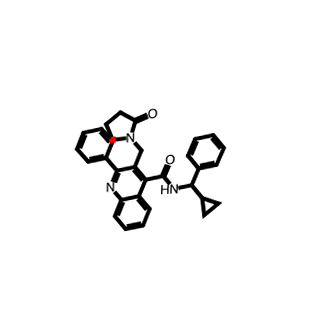 O=C(NC(c1ccccc1)C1CC1)c1c(CN2CCCC2=O)c(-c2ccccc2)nc2ccccc12